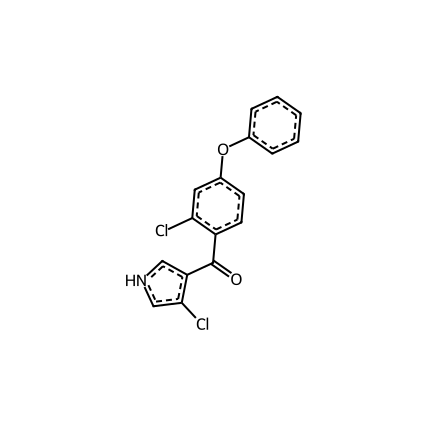 O=C(c1ccc(Oc2ccccc2)cc1Cl)c1c[nH]cc1Cl